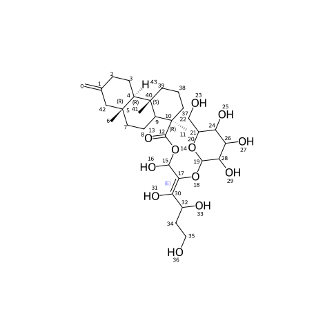 C=C1CC[C@@H]2[C@](C)(CCC3[C@](C)(C(=O)OC(O)/C(OC4OC(CO)C(O)C(O)C4O)=C(\O)C(O)CCO)CCC[C@]32C)C1